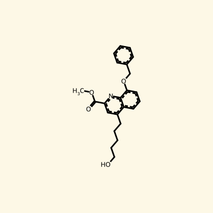 COC(=O)c1cc(CCCCCO)c2cccc(OCc3ccccc3)c2n1